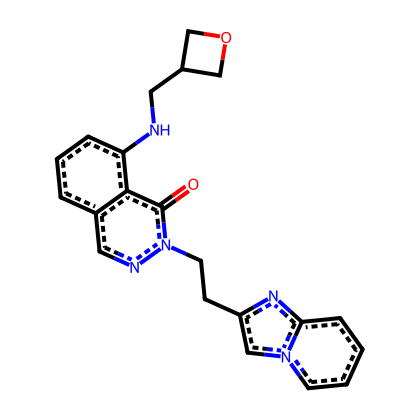 O=c1c2c(NCC3COC3)cccc2cnn1CCc1cn2ccccc2n1